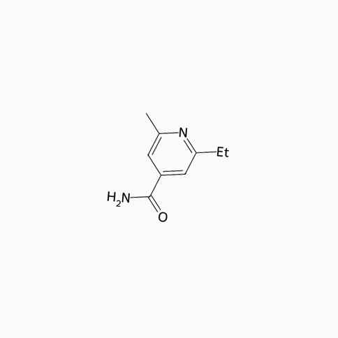 CCc1cc(C(N)=O)cc(C)n1